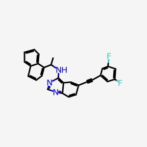 CC(Nc1ncnc2ccc(C#Cc3cc(F)cc(F)c3)cc12)c1cccc2ccccc12